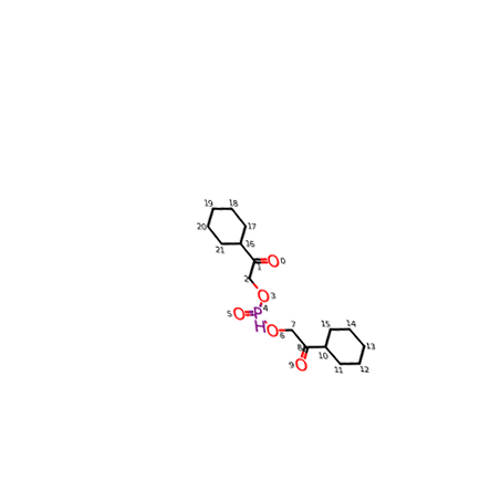 O=C(CO[PH](=O)OCC(=O)C1CCCCC1)C1CCCCC1